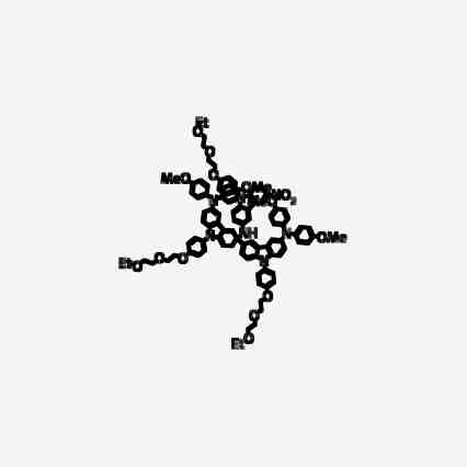 CCOCCOCCOc1ccc(-n2c3c(c4cc(N(c5ccc(OC)cc5)c5ccc(OC)cc5)ccc42)=CC(Nc2ccc4c(c2)c2cc([N+](=O)[O-])ccc2n4-c2ccc(OCCOCCOCC)cc2)(c2ccc4c(c2)c2cc(N(c5ccc(OC)cc5)c5ccc(OC)cc5)ccc2n4-c2ccc(OCCOCCOCC)cc2)CC=3)cc1